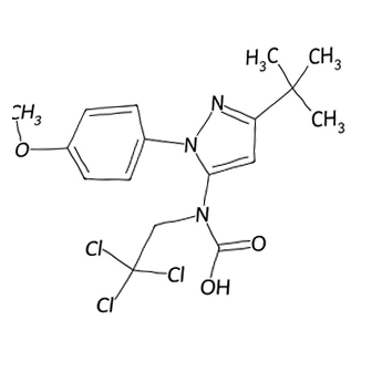 COc1ccc(-n2nc(C(C)(C)C)cc2N(CC(Cl)(Cl)Cl)C(=O)O)cc1